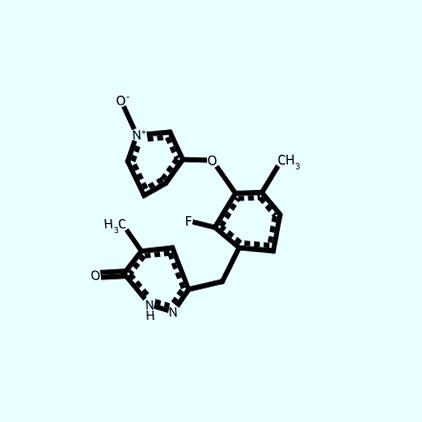 Cc1ccc(Cc2cc(C)c(=O)[nH]n2)c(F)c1Oc1ccc[n+]([O-])c1